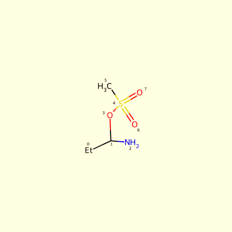 CCC(N)OS(C)(=O)=O